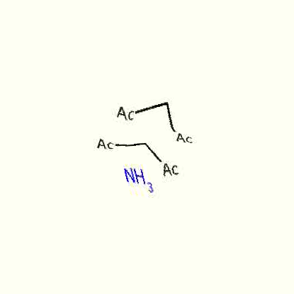 CC(=O)CC(C)=O.CC(=O)CC(C)=O.N